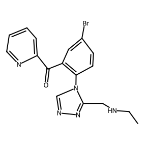 CCNCc1nncn1-c1ccc(Br)cc1C(=O)c1ccccn1